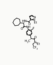 CCN(CC(F)(F)F)C(=O)[C@H](C)c1ccc(NC(=O)[C@@H](NC(=O)c2ccnn2CC)C2CCCCCC2)c(F)c1